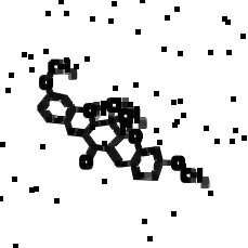 COc1ccc2c(c1)O[C@@H]1C(=C2)C(=O)C2=Cc3ccc(OC)cc3O[C@H]2C1(C)C